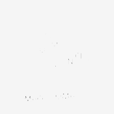 COc1ccc(C23CCN(C)C2CC2(CC3)OC[C@H](c3ccccc3)O2)cc1OC